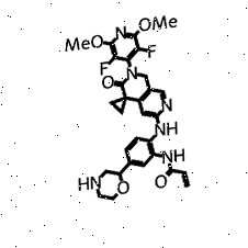 C=CC(=O)Nc1cc(C2CNCCO2)ccc1Nc1cc2c(cn1)CN(c1c(F)c(OC)nc(OC)c1F)C(=O)C21CC1